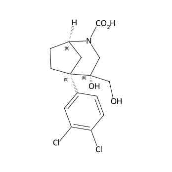 O=C(O)N1C[C@@](O)(CO)[C@@]2(c3ccc(Cl)c(Cl)c3)CC[C@@H]1C2